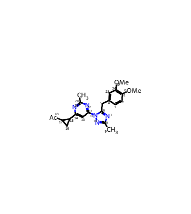 COc1ccc(Cc2nc(C)nn2-c2cc(C3CC3C(C)=O)nc(C)n2)cc1OC